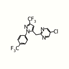 FC(F)(F)c1ccc(-n2nc(C(F)(F)F)cc2Cc2ncc(Cl)cn2)cc1